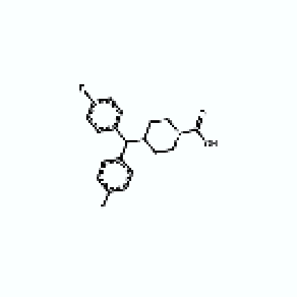 O=C(O)N1CCC(C(c2ccc(F)cc2)c2ccc(F)cc2)CC1